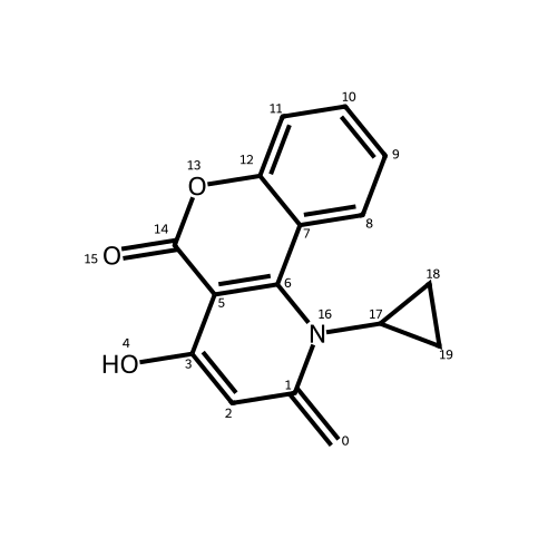 C=C1C=C(O)c2c(c3ccccc3oc2=O)N1C1CC1